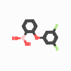 OB(O)c1ccccc1Oc1cc(F)cc(F)c1